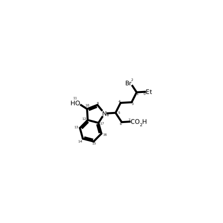 CCC(Br)CCC(CC(=O)O)n1cc(O)c2ccccc21